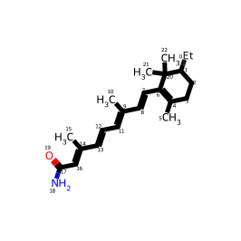 CCC1CCC(C)=C(/C=C/C(C)=C/C=C/C(C)=C/C(N)=O)C1(C)C